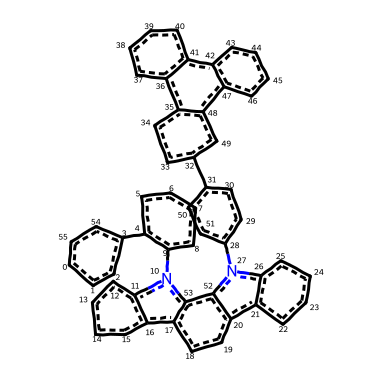 c1ccc(-c2ccccc2-n2c3ccccc3c3ccc4c5ccccc5n(-c5ccc(-c6ccc7c8ccccc8c8ccccc8c7c6)cc5)c4c32)cc1